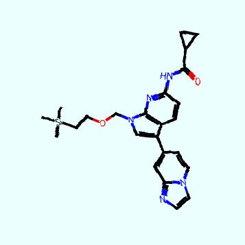 C[Si](C)(C)CCOCn1cc(-c2ccn3ccnc3c2)c2ccc(NC(=O)C3CC3)nc21